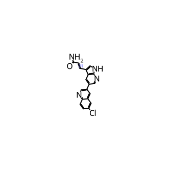 NC(=O)/C=C/c1c[nH]c2ncc(-c3cnc4ccc(Cl)cc4c3)cc12